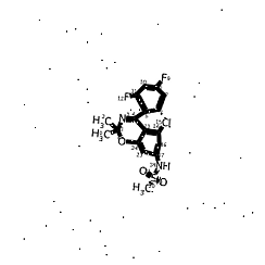 CC1(C)N=C(c2ccc(F)cc2F)c2c(Cl)cc(NS(C)(=O)=O)cc2O1